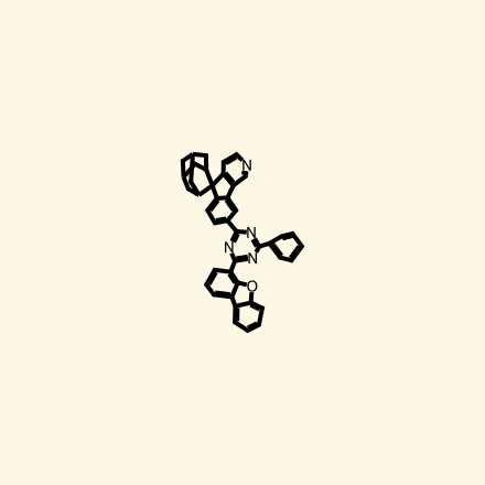 c1ccc(-c2nc(-c3ccc4c(c3)-c3cnccc3C43C4CC5CC(C4)CC3C5)nc(-c3cccc4c3oc3ccccc34)n2)cc1